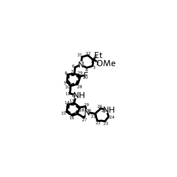 CCC1(OC)CCN(Cc2ccc(CNc3cccc4c3CN(C3CCCNC3)C4)cc2F)CC1